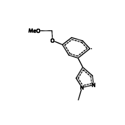 COCOc1cc[c]c(-c2cnn(C)c2)c1